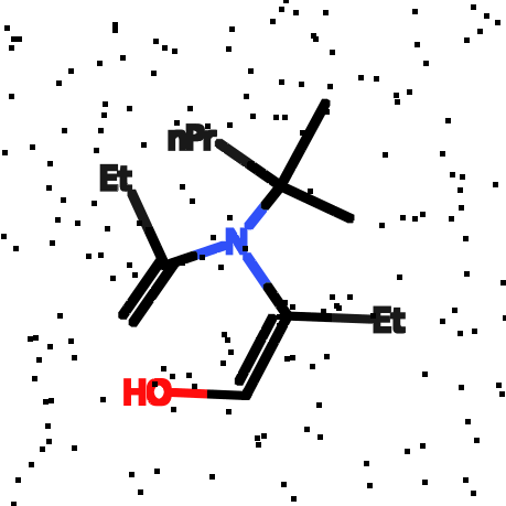 C=C(CC)N(/C(=C\O)CC)C(C)(C)CCC